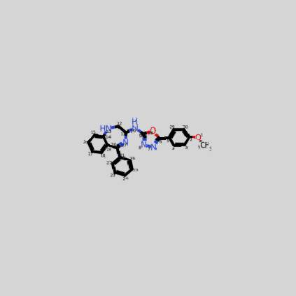 FC(F)(F)Oc1ccc(-c2nnc(NC3CNc4ccccc4C(c4ccccc4)=N3)o2)cc1